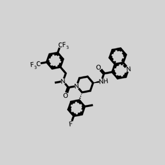 Cc1cc(F)ccc1[C@H]1C[C@H](NC(=O)c2ccnc3ccccc23)CCN1C(=O)N(C)Cc1cc(C(F)(F)F)cc(C(F)(F)F)c1